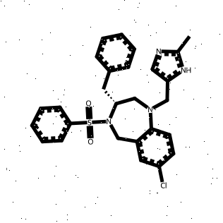 Cc1ncc(CN2C[C@@H](Cc3ccccc3)N(S(=O)(=O)c3ccccc3)Cc3cc(Cl)ccc32)[nH]1